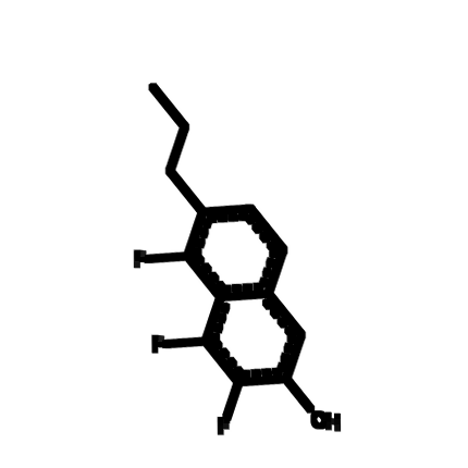 CCCc1ccc2cc(O)c(F)c(F)c2c1F